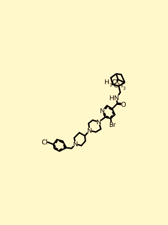 CC1(C)C2CCC(CNC(=O)c3cnc(N4CCN(C5CCN(Cc6ccc(Cl)cc6)CC5)CC4)c(Br)c3)C1C2